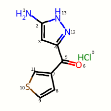 Cl.Nc1cc(C(=O)c2ccsc2)n[nH]1